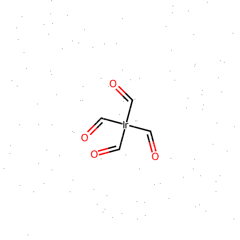 O=[CH][Ir]([CH]=O)([CH]=O)[CH]=O